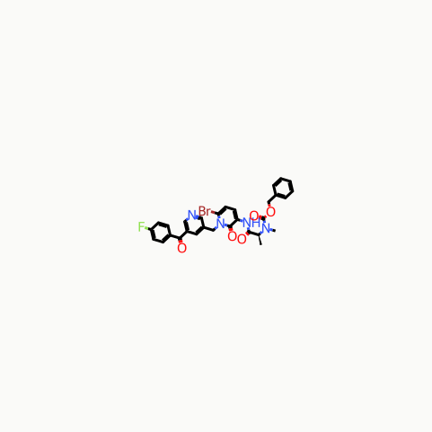 C[C@@H](C(=O)Nc1ccc(Br)n(Cc2cncc(C(=O)c3ccc(F)cc3)c2)c1=O)N(C)C(=O)OCc1ccccc1